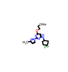 COCCOc1cc(NC2CCC(F)(F)CC2)nc(-n2ccc(C)n2)n1